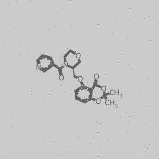 CC1(C)OC(=O)c2c(OC[C@@H]3COCCN3C(=O)c3cccnc3)cccc2O1